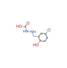 O=C(O)NNCc1cc(Cl)ccc1O